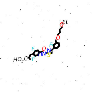 CCOCCCCOCc1cccc(-c2csc(NC(=O)c3cc(F)c(C=C(C)C(=O)O)c(F)c3)n2)c1F